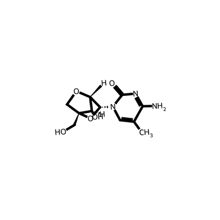 Cc1cn([C@@H]2O[C@]3(CO)CO[C@H]2[C@H]3O)c(=O)nc1N